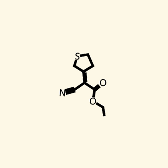 CCOC(=O)C(C#N)=C1CCSC1